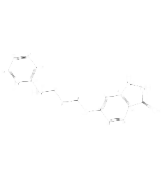 O=c1[nH][nH]c2cc(SCCCNc3ccccn3)ccc12